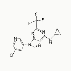 FC(F)(F)c1nc(NC2CC2)c2ncn(-c3cncc(Cl)c3)c2n1